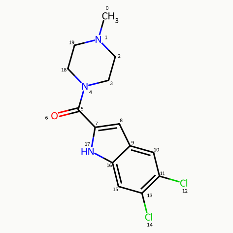 CN1CCN(C(=O)c2cc3cc(Cl)c(Cl)cc3[nH]2)CC1